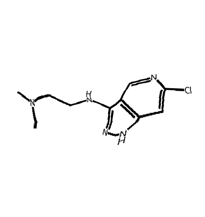 CN(C)CCNc1n[nH]c2cc(Cl)ncc12